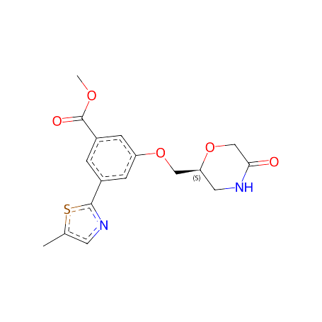 COC(=O)c1cc(OC[C@@H]2CNC(=O)CO2)cc(-c2ncc(C)s2)c1